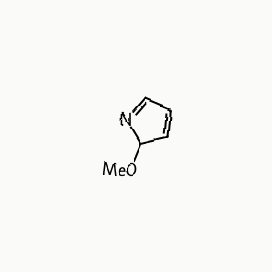 COC1C=CC=N1